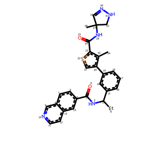 CCC(NC(=O)c1ccc2cnccc2c1)c1cccc(-c2csc(C(=O)NC3(C)C=NNC3)c2C)c1